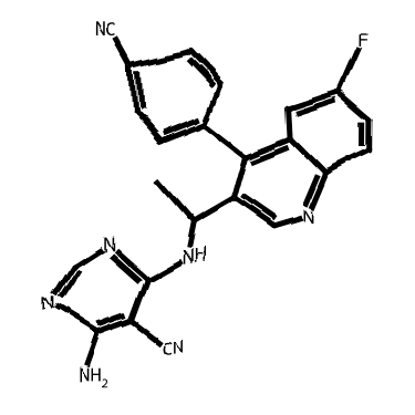 CC(Nc1ncnc(N)c1C#N)c1cnc2ccc(F)cc2c1-c1ccc(C#N)cc1